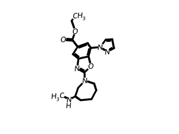 CCOC(=O)c1cc(-n2cccn2)c2oc(N3CCCCC(NC)C3)nc2c1